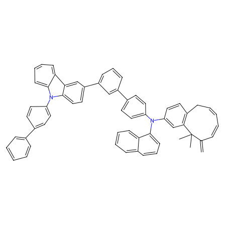 C=C1/C=C\C=C/Cc2ccc(N(c3ccc(-c4cccc(-c5ccc6c(c5)c5ccccc5n6-c5ccc(-c6ccccc6)cc5)c4)cc3)c3cccc4ccccc34)cc2C1(C)C